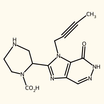 CC#CCn1c(C2CNCCN2C(=O)O)nc2cn[nH]c(=O)c21